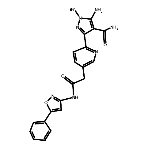 CC(C)n1nc(-c2ccc(CC(=O)Nc3cc(-c4ccccc4)on3)cn2)c(C(N)=O)c1N